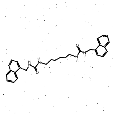 O=C(NCCCCCCNC(=O)NCc1cccc2ccccc12)NCc1cccc2ccccc12